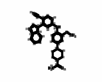 COc1cc(N2CCN(C(C)=O)CC2)ccc1Nc1ncc(C#N)c(-c2cnc3ccccn23)n1